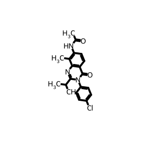 CC(=O)Nc1ccc2c(=O)n(-c3ccc(Cl)cc3)c(C(C)C)nc2c1C